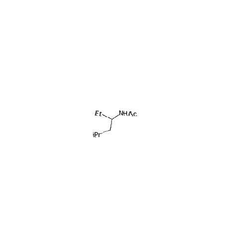 [CH2]C(=O)NC(CC)CC(C)C